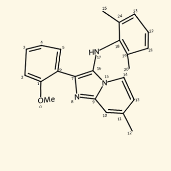 COc1ccccc1-c1nc2cc(C)ccn2c1Nc1c(C)cccc1C